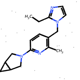 CCc1nccn1Cc1ccc(N2CC3CC3C2)nc1C